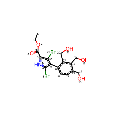 CCOC(=O)c1[nH]c(Br)c(-c2ccc(CO)c(CO)c2CO)c1Br